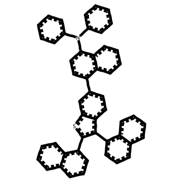 c1ccc(N(c2ccccc2)c2ccc(-c3ccc4c(-c5cccc6ccccc56)c(-c5cccc6ccccc56)sc4c3)c3ccccc23)cc1